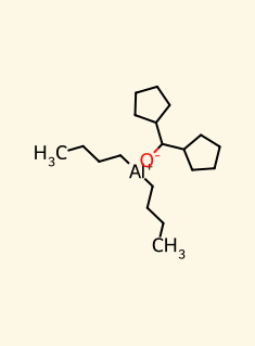 CCC[CH2][Al+][CH2]CCC.[O-]C(C1CCCC1)C1CCCC1